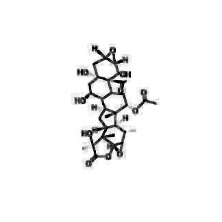 CC(=O)O[C@H]1CC2C([C@@H](O)C[C@@]3(O)C[C@@H]4O[C@@H]4[C@H](O)[C@]23C(C)=O)[C@@H]2C[C@@H]3[C@H]([C@H](C)[C@H]4O[C@]45OC(=O)[C@@](C)(O)[C@]35C)[C@@]12C